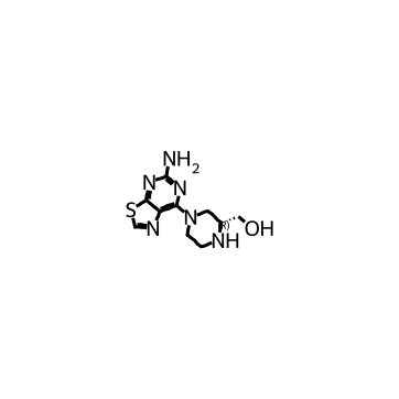 Nc1nc(N2CCN[C@@H](CO)C2)c2ncsc2n1